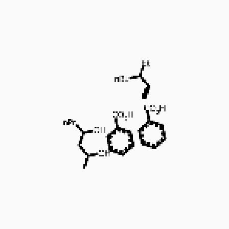 C=CC(CC)CCCC.CCCC(O)CC(C)O.O=C(O)c1ccccc1.O=C(O)c1ccccc1